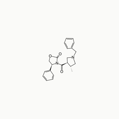 C[C@H]1CN(Cc2ccccc2)C[C@@H]1C(=O)N1C(=O)OC[C@@H]1c1ccccc1